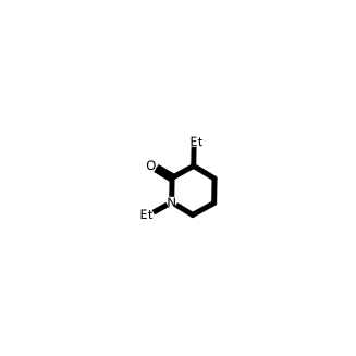 CCC1CCCN(CC)C1=O